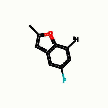 [2H]c1cc(F)cc2cc(C)oc12